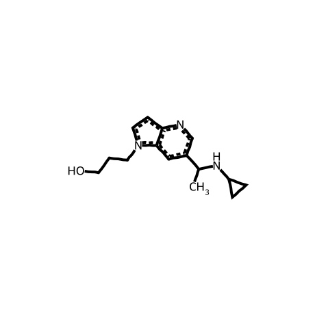 CC(NC1CC1)c1cnc2ccn(CCCO)c2c1